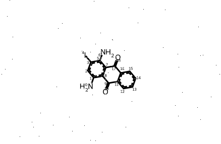 Nc1cc(I)c(N)c2c1C(=O)c1ccccc1C2=O